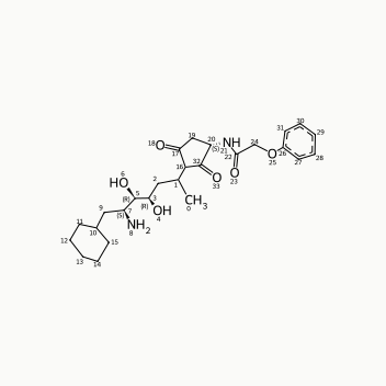 CC(C[C@@H](O)[C@H](O)[C@@H](N)CC1CCCCC1)C1C(=O)C[C@H](NC(=O)COc2ccccc2)C1=O